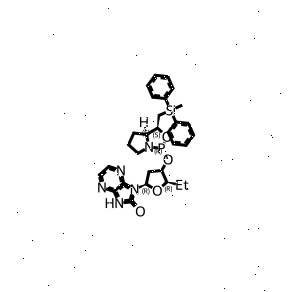 CC[C@H]1O[C@@H](n2c(=O)[nH]c3nccnc32)CC1O[P@@]1O[C@H](C[Si](C)(c2ccccc2)c2ccccc2)[C@@H]2CCCN21